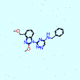 COCc1cccc2c1nc(OC)n2-c1nncc(NCc2ccccc2)n1